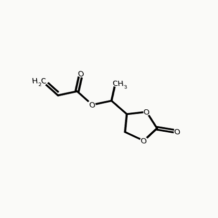 C=CC(=O)OC(C)C1COC(=O)O1